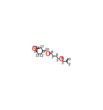 C=C(C)COCCCCOCC1CCC2OC2C1